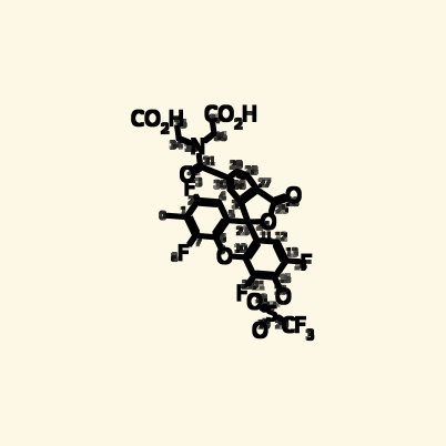 Cc1c(F)cc2c(c1F)Oc1c(cc(F)c(OS(=O)(=O)C(F)(F)F)c1F)C21OC(=O)c2ccc(C(=O)N(CC(=O)O)CC(=O)O)cc21